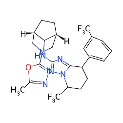 Cc1nnc(N2C[C@H]3CC[C@@H](C2)C3Nc2nc3n(n2)C(C(F)(F)F)CCC3c2cccc(C(F)(F)F)c2)o1